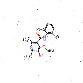 CCCCOc1c(Br)c(C)nc(C)c1C(=O)Nc1c(C(C)C)cccc1C(C)C